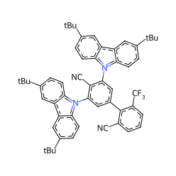 CC(C)(C)c1ccc2c(c1)c1cc(C(C)(C)C)ccc1n2-c1cc(-c2c(C#N)cccc2C(F)(F)F)cc(-n2c3ccc(C(C)(C)C)cc3c3cc(C(C)(C)C)ccc32)c1C#N